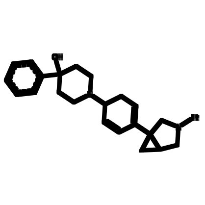 CCN1CC2CC2(C2=CCC(N3CCC(O)(c4ccccc4)CC3)C=C2)C1